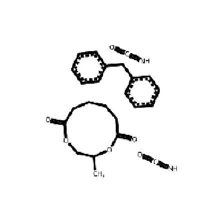 CC1COC(=O)CCCCC(=O)O1.N=C=O.N=C=O.c1ccc(Cc2ccccc2)cc1